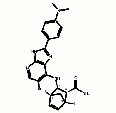 CN(C)c1ccc(-c2nc3c(N[C@H]4[C@@H](C(N)=O)[C@@H]5C=C[C@H]4C5)c(Br)cnc3[nH]2)cc1